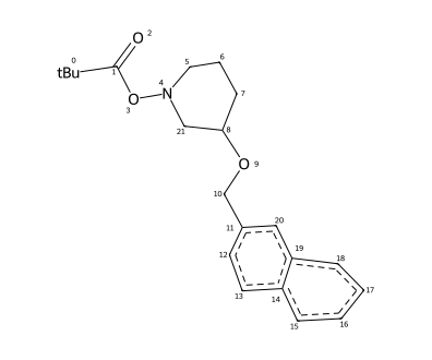 CC(C)(C)C(=O)ON1CCCC(OCc2ccc3ccccc3c2)C1